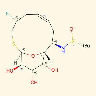 CC(C)(C)[S@@+]([O-])N[C@@H]1C/C=C\C[C@@H](F)CS[C@H]2O[C@H]1[C@H](O)[C@H](O)[C@H]2O